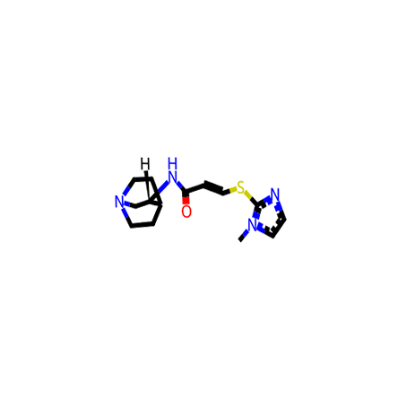 Cn1ccnc1S/C=C/C(=O)N[C@H]1CN2CCC1CC2